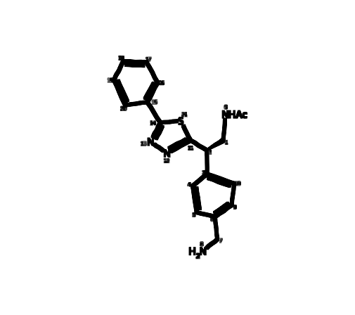 CC(=O)NC[C@@H](c1ccc(CN)cc1)c1nnc(-c2ccccc2)s1